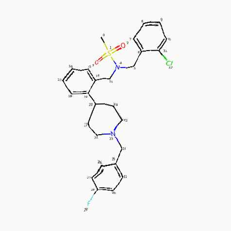 CS(=O)(=O)N(Cc1ccccc1Cl)Cc1ccccc1C1CCN(Cc2ccc(F)cc2)CC1